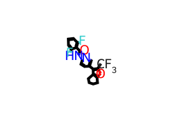 O=C(Nc1ccc(-c2c(C(F)(F)F)oc3c2CCCC3)cn1)c1c(F)cccc1F